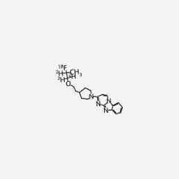 [2H]C(C)([18F])C([2H])([2H])OCCC1CCN(c2ccn3c(n2)nc2ccccc23)CC1